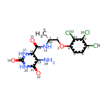 C[C@H](COc1ccc(Cl)c(Cl)c1Cl)NC(=O)c1[nH]c(=O)[nH]c(=O)c1N